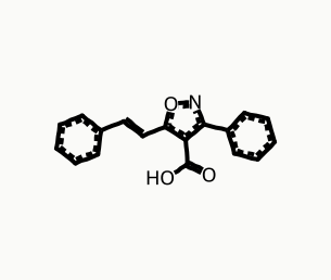 O=C(O)c1c(-c2ccccc2)noc1C=Cc1ccccc1